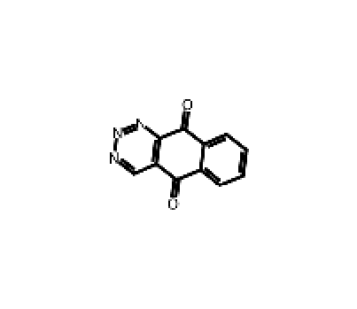 O=C1c2ccccc2C(=O)c2nnncc21